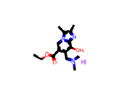 CCOC(=O)c1cn2c(C)c(C)nc2c(O)c1CN(C)C.I